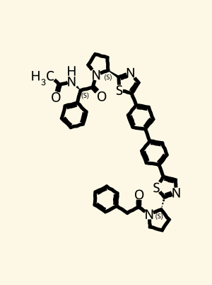 CC(=O)N[C@H](C(=O)N1CCC[C@H]1c1ncc(-c2ccc(-c3ccc(-c4cnc([C@@H]5CCCN5C(=O)Cc5ccccc5)s4)cc3)cc2)s1)c1ccccc1